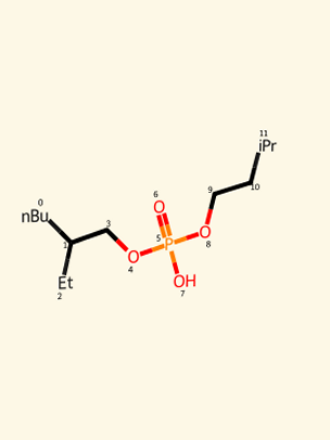 CCCCC(CC)COP(=O)(O)OCCC(C)C